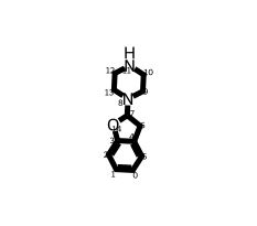 c1ccc2c(c1)CC(N1CCNCC1)O2